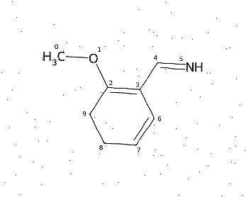 COC1=C(C=N)C=CCC1